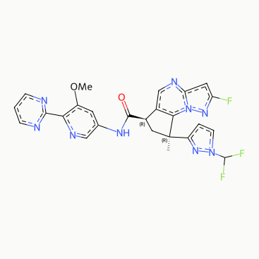 COc1cc(NC(=O)[C@@H]2C[C@](C)(c3ccn(C(F)F)n3)c3c2cnc2cc(F)nn32)cnc1-c1ncccn1